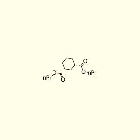 CCCOC(=O)[C@@H]1CCC[C@H](C(=O)OCCC)C1